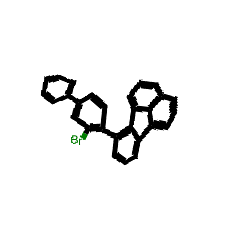 Brc1cc(-c2ccccc2)ccc1-c1cccc2c1-c1cccc3cccc-2c13